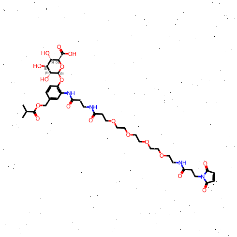 CC(C)C(=O)OCc1ccc(O[C@@H]2O[C@H](C(=O)O)[C@@H](O)[C@H](O)[C@H]2O)c(NC(=O)CCNC(=O)CCOCCOCCOCCOCCNC(=O)CCN2C(=O)C=CC2=O)c1